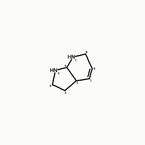 C1=CC2CCNC2NC1